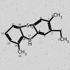 CCc1cc2c(cc1C)Sc1cccc(C)c1B2